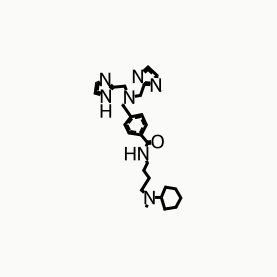 CN(CCCCNC(=O)c1ccc(CN(Cc2ncc[nH]2)Cc2nccn2C)cc1)C1CCCCC1